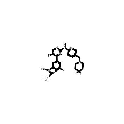 Cc1nc2c(F)cc(-c3nc(Nc4ccc(CN5CCC(F)(F)CC5)cn4)ncc3F)cc2n1C(C)C